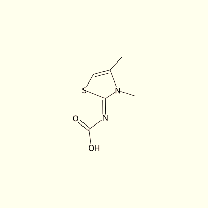 Cc1csc(=NC(=O)O)n1C